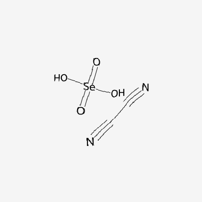 N#CC#N.O=[Se](=O)(O)O